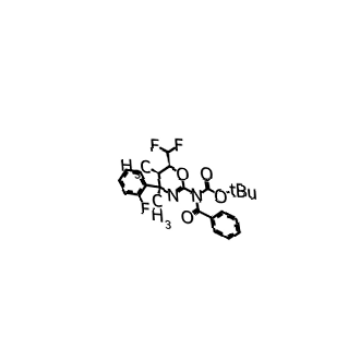 C[C@H]1[C@@H](C(F)F)OC(N(C(=O)OC(C)(C)C)C(=O)c2ccccc2)=N[C@]1(C)c1ccccc1F